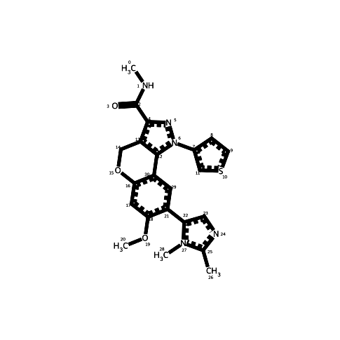 CNC(=O)c1nn(-c2ccsc2)c2c1COc1cc(OC)c(-c3cnc(C)n3C)cc1-2